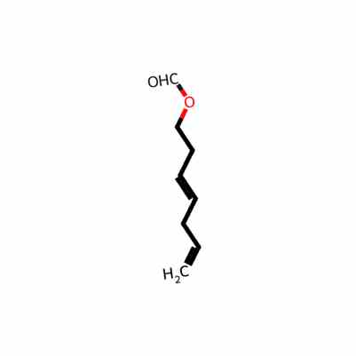 C=CCC=CCCOC=O